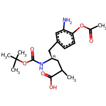 CC(=O)Oc1ccc(C[C@@H](CC(C)C(=O)O)NC(=O)OC(C)(C)C)cc1N